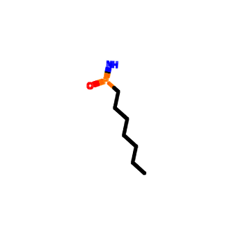 CCCCCCCP(=N)=O